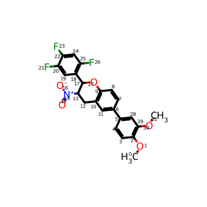 COc1ccc(-c2ccc3c(c2)CC([N+](=O)[O-])C(c2cc(F)c(F)cc2F)O3)cc1OC